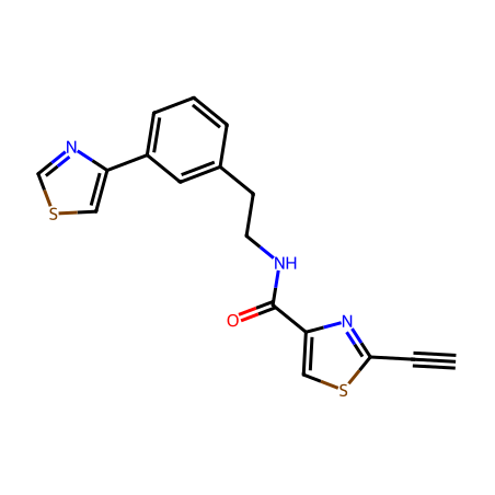 C#Cc1nc(C(=O)NCCc2cccc(-c3cscn3)c2)cs1